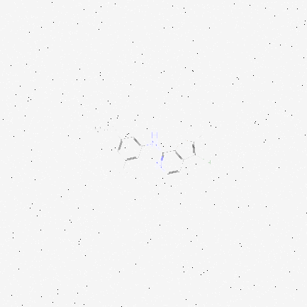 COc1cc(Nc2nccc3c(Br)c(C)sc23)cc(C(F)(F)F)c1